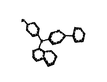 Brc1ccc(N(c2ccc(-c3ccccc3)nc2)c2cccc3ccccc23)cc1